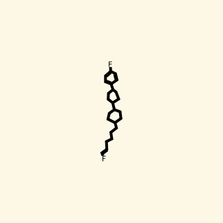 FC=CCCCCC1CCC(C2CCC(c3ccc(F)cc3)CC2)CC1